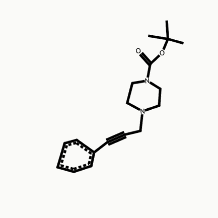 CC(C)(C)OC(=O)N1CCN(CC#Cc2ccccc2)CC1